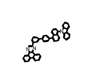 c1cc(-c2ccc(-c3cccc4c(-n5c6ccccc6c6ccccc65)cccc34)cc2)cc(-c2cnc3c4ccccc4c4ccccc4c3n2)c1